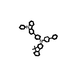 CC1(C)c2ccccc2-c2ccc(N(C3=CC=C(c4ccccc4)CC3)c3ccc(-c4ccc5c(c4)c4ccccc4n5-c4ccccc4)cc3)cc21